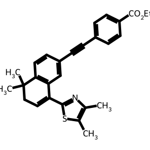 CCOC(=O)c1ccc(C#Cc2ccc3c(c2)C(c2nc(C)c(C)s2)=CCC3(C)C)cc1